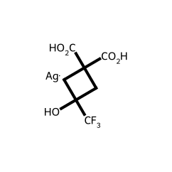 O=C(O)C1(C(=O)O)CC(O)(C(F)(F)F)C1.[Ag]